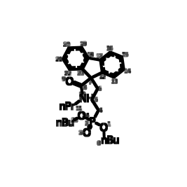 CCCCOP(=O)(CCCC1(C(=O)NCCC)c2ccccc2-c2ccccc21)OCCCC